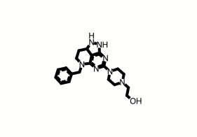 OCCN1CCN(c2nc3c4c(n2)N(Cc2ccccc2)CCC4NN3)CC1